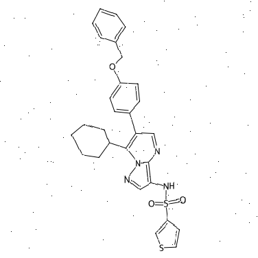 O=S(=O)(Nc1cnn2c(C3CCCCC3)c(-c3ccc(OCc4ccccc4)cc3)cnc12)c1ccsc1